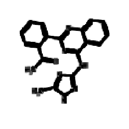 CC(=O)c1ccccc1-c1nc(Nc2n[nH]c(C)n2)c2ccccc2n1